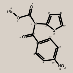 CC(C)(C)OC(=O)N(C(=O)c1ccc([N+](=O)[O-])cc1)c1cccs1